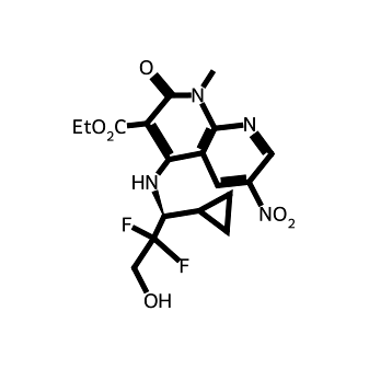 CCOC(=O)c1c(N[C@@H](C2CC2)C(F)(F)CO)c2cc([N+](=O)[O-])cnc2n(C)c1=O